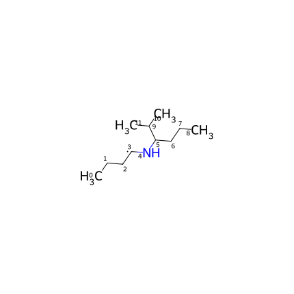 CCC[CH]NC(CCC)C(C)C